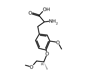 COC[C@@H](C)Oc1ccc(CC(N)C(=O)O)cc1OC